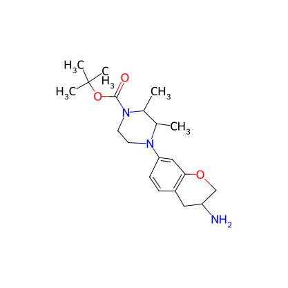 CC1C(C)N(c2ccc3c(c2)OCC(N)C3)CCN1C(=O)OC(C)(C)C